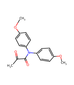 COc1ccc(N(C(=O)C(C)=O)c2ccc(OC)cc2)cc1